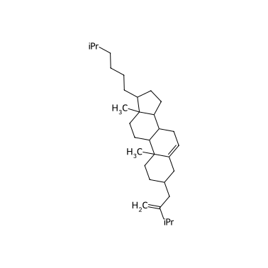 C=C(CC1CCC2(C)C(=CCC3C2CCC2(C)C(CCCCC(C)C)CCC32)C1)C(C)C